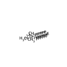 CC(C)CC(C)OCCC(F)(F)C(F)(F)C(F)(F)C(F)(F)C(F)(F)C(F)(F)F